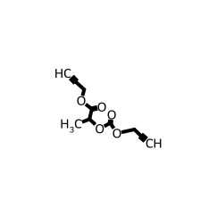 C#CCOC(=O)OC(C)C(=O)OCC#C